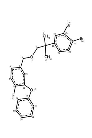 CC(C)(COCc1ccc(F)c(Oc2ccccc2)c1)c1ccc(Br)c(Br)c1